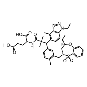 CC[C@@H]1CN(Cc2cc(C(c3ccc4c(nnn4CC)c3C)C(C)(C)C(=O)NC(CCC(=O)O)C(=O)O)ccc2C)S(=O)(=O)c2ccccc2O1